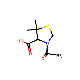 BC(=O)N1CSC(C)(C)C1C(=O)O